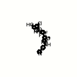 COc1cc(-c2c(F)ccc(NS(=O)(=O)c3cc(Cl)cc4c3CCC4O)c2F)cc2cnc(NC3CCN(c4cccnc4)CC3)nc12